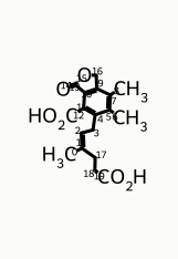 CC(=CCc1c(C)c(C)c2c(c1C(=O)O)C(=O)OC2)CCC(=O)O